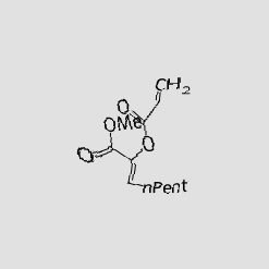 C=CC(=O)OC(=CCCCCC)C(=O)OC